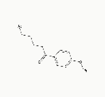 CC(=O)CCCCC(=O)c1ccc(OC(C)C)cc1